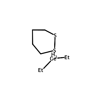 C1CCSSC1.C[CH2][GeH2][CH2]C